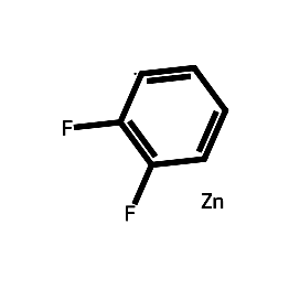 Fc1[c]cccc1F.[Zn]